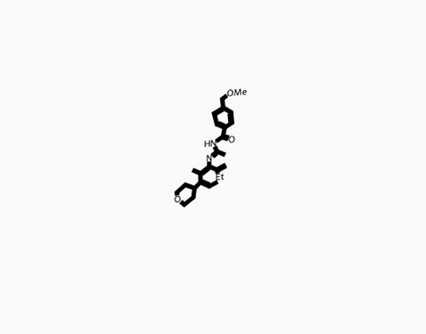 C=C(CC)C(/N=C(\C)NC(=O)c1ccc(COC)cc1)=C(C)\C(=C/C)C1CCOCC1